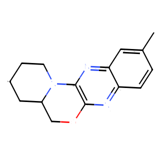 Cc1ccc2nc3c(nc2c1)N1CCCCC1CO3